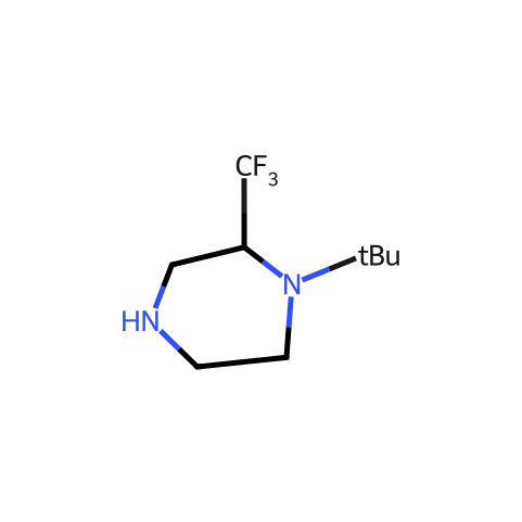 CC(C)(C)N1CCNCC1C(F)(F)F